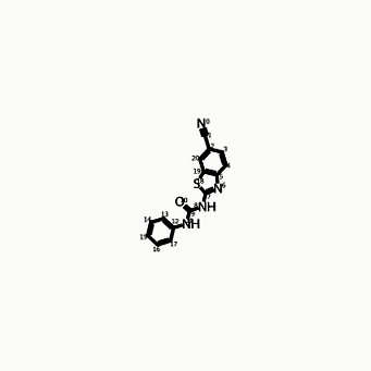 N#Cc1ccc2nc(NC(=O)Nc3ccccc3)sc2c1